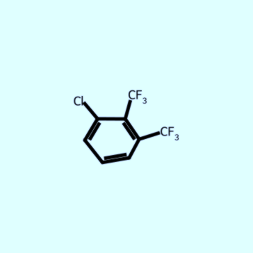 FC(F)(F)c1cccc(Cl)c1C(F)(F)F